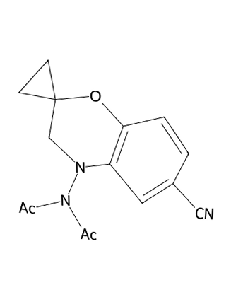 CC(=O)N(C(C)=O)N1CC2(CC2)Oc2ccc(C#N)cc21